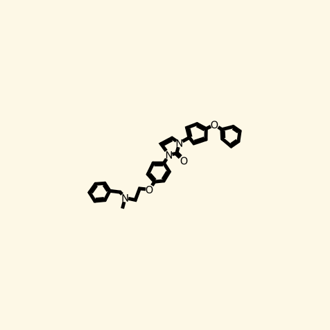 CN(CCOc1ccc(-n2ccn(-c3ccc(Oc4ccccc4)cc3)c2=O)cc1)Cc1ccccc1